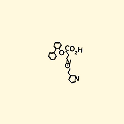 O=C(O)C(CC=NOCCc1cccnc1)Oc1ccccc1-c1ccccc1